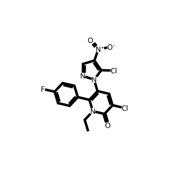 CCn1c(-c2ccc(F)cc2)c(-n2ncc([N+](=O)[O-])c2Cl)cc(Cl)c1=O